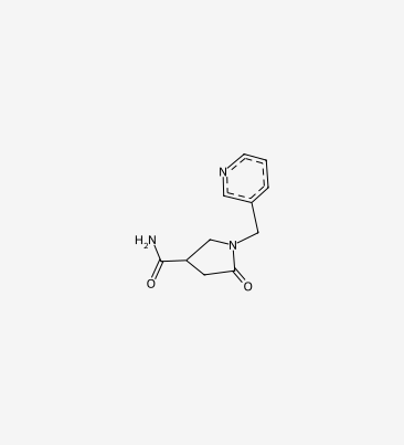 NC(=O)C1CC(=O)N(Cc2cccnc2)C1